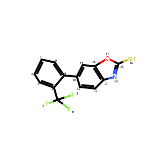 FC(F)(F)c1ccccc1-c1ccc2nc(S)oc2c1